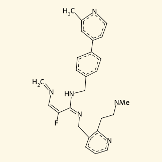 C=N/C=C(F)\C(=N/Cc1cccnc1CCNC)NCc1ccc(-c2ccnc(C)c2)cc1